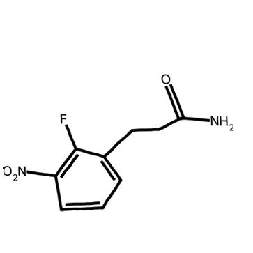 NC(=O)CCc1cccc([N+](=O)[O-])c1F